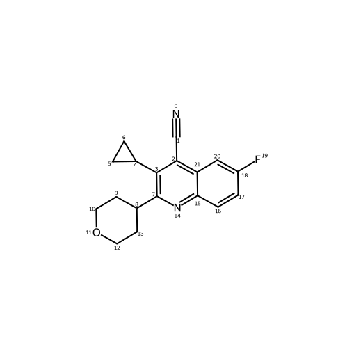 N#Cc1c(C2CC2)c(C2CCOCC2)nc2ccc(F)cc12